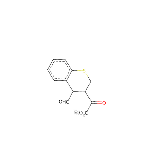 CCOC(=O)C(=O)C1CSc2ccccc2C1C=O